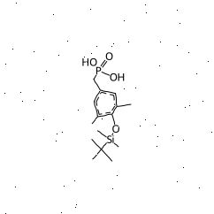 Cc1cc(CP(=O)(O)O)cc(C)c1O[Si](C)(C)C(C)(C)C